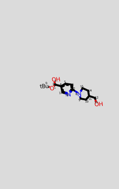 CC(C)(C)OC(O)c1ccc(N2CCC(CO)CC2)nc1